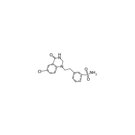 NS(=O)(=O)c1cccc(CCN2CNC(=O)c3cc(Cl)ccc32)c1